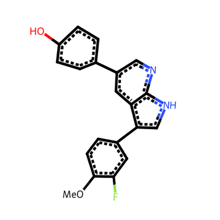 COc1ccc(-c2c[nH]c3ncc(-c4ccc(O)cc4)cc23)cc1F